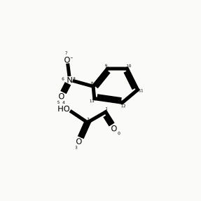 O=CC(=O)O.O=[N+]([O-])c1ccccc1